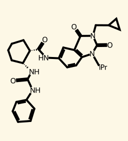 CC(C)n1c(=O)n(CC2CC2)c(=O)c2cc(NC(=O)[C@H]3CCCC[C@H]3NC(=O)Nc3ccccc3)ccc21